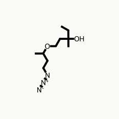 CCC(C)(O)CCOC(C)CCN=[N+]=[N-]